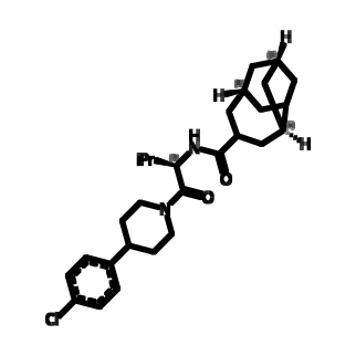 CC(C)[C@@H](NC(=O)C1C[C@H]2CC3C[C@@H](C2)C[C@@H]3C1)C(=O)N1CCC(c2ccc(Cl)cc2)CC1